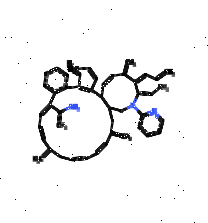 C=C/C=C1/C(=C)/C=C\C2C(/C=C\C)=C(/C=C)c3ccccc3/C(C(=C)N)=C/C=C\C(=C)C/C=C\C=C/C(=C)CC2CN(c2ccccn2)/C1=C/C